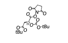 CC(C)(C)OC(=O)C[C@H](OC(=O)OC(C)(C)C)C(=O)ON1C(=O)CCC1=O